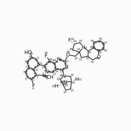 C#Cc1c(F)ccc2cc(O)cc(-c3ncc4c(N5C[C@H]6CC[C@@H](C5)N6)nc(OCC56CC7COc8ccccc8C7N5C[C@@H](F)C6)nc4c3F)c12